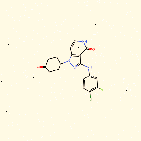 O=C1CCC(n2nc(Nc3ccc(Cl)c(F)c3)c3c(=O)[nH]ccc32)CC1